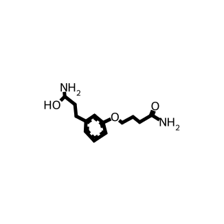 NC(=O)CCCOc1cccc(CCC(N)O)c1